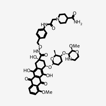 COc1cccc2c1C(=O)c1c(O)c3c(c(O)c1C2=O)C[C@@](O)(C(=O)NOCc1ccc(NC(=O)CN2CCC(C(N)=O)CC2)cc1)C[C@@H]3O[C@H]1CC[C@H](O[C@H]2NCCO[C@@H]2OC)[C@H](C)O1